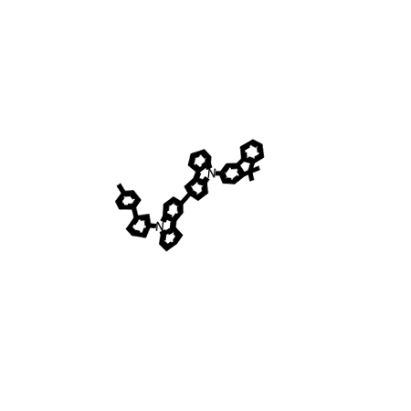 Cc1ccc(-c2cccc(-n3c4ccccc4c4cc(-c5ccc6c(c5)c5ccccc5n6-c5ccc6c(c5)-c5ccccc5C6(C)C)ccc43)c2)cc1